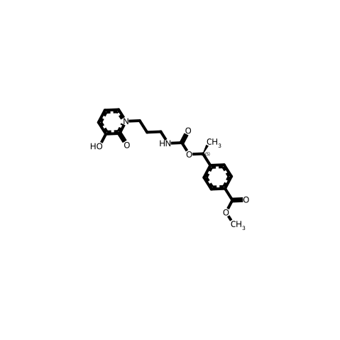 COC(=O)c1ccc([C@H](C)OC(=O)NCCCn2cccc(O)c2=O)cc1